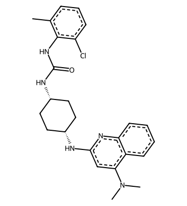 Cc1cccc(Cl)c1NC(=O)N[C@H]1CC[C@@H](Nc2cc(N(C)C)c3ccccc3n2)CC1